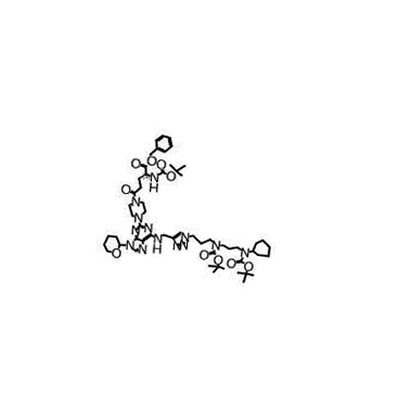 CC(C)(C)OC(=O)N[C@@H](CCC(=O)N1CCN(c2nc(NCc3cn(CCCN(CCCN(C(=O)OC(C)(C)C)C4CCCCC4)C(=O)OC(C)(C)C)nn3)c3ncn(C4CCCCO4)c3n2)CC1)C(=O)OCc1ccccc1